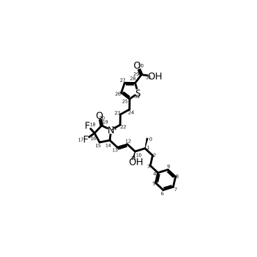 C[C@@H](CCc1ccccc1)[C@@H](O)C=CC1CC(F)(F)C(=O)N1CCCc1ccc(C(=O)O)s1